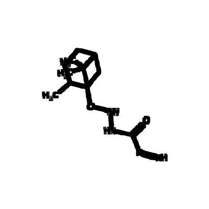 CC1CCC2CC1(ONNC(=O)N=N)C2(C)C